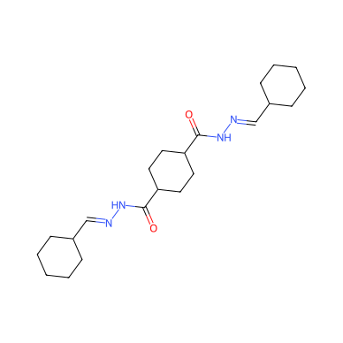 O=C(N/N=C/C1CCCCC1)C1CCC(C(=O)N/N=C/C2CCCCC2)CC1